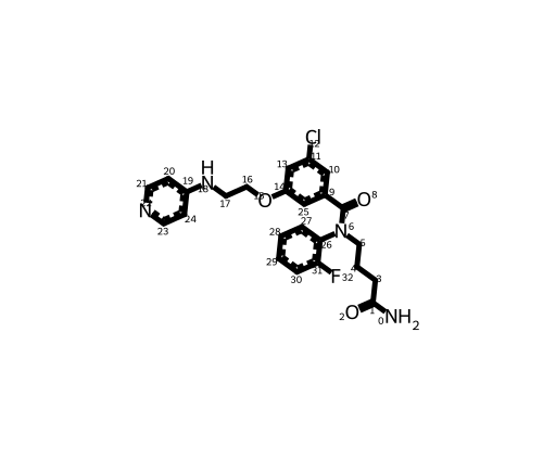 NC(=O)CCCN(C(=O)c1cc(Cl)cc(OCCNc2ccncc2)c1)c1ccccc1F